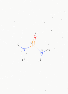 CN(C)[PH](=O)N(C)C